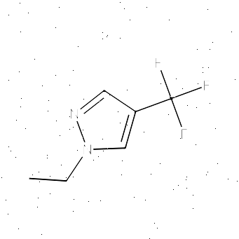 CCn1cc(C(F)(F)F)cn1